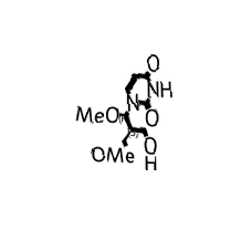 COC[C@H](CO)[C@@H](OC)n1ccc(=O)[nH]c1=O